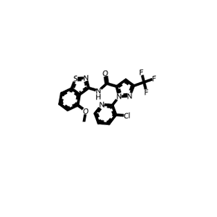 COc1cccc2snc(NC(=O)c3cc(C(F)(F)F)nn3-c3ncccc3Cl)c12